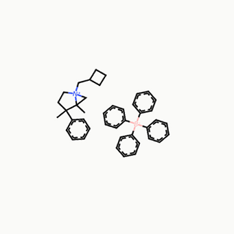 CC1(c2ccccc2)CC[N+]2(CC3CCC3)CC12C.c1ccc([B-](c2ccccc2)(c2ccccc2)c2ccccc2)cc1